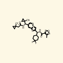 Cc1nonc1C(=O)N[C@H](c1cn2ncc([C@@H](NC(=O)CC3(C(F)(F)F)CC3)C3(C#N)CC3)cc2n1)C1CCC(F)(F)CC1